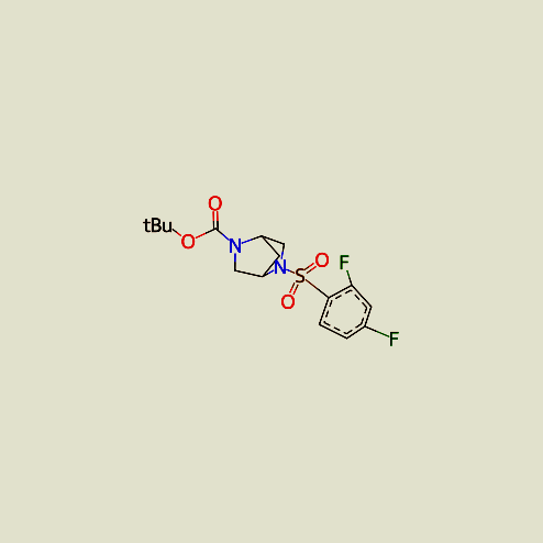 CC(C)(C)OC(=O)N1CC2CC1CN2S(=O)(=O)c1ccc(F)cc1F